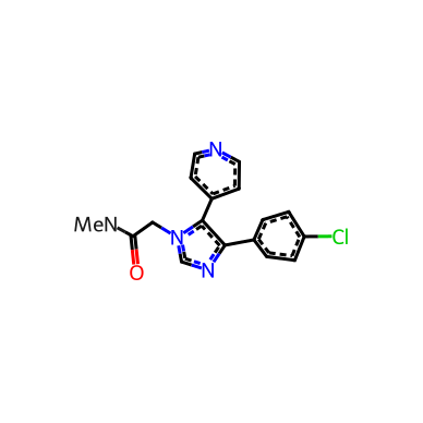 CNC(=O)Cn1cnc(-c2ccc(Cl)cc2)c1-c1ccncc1